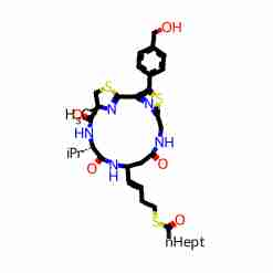 CCCCCCCC(=O)SCC/C=C/C1CC(=O)NCc2nc(c(-c3ccc(CO)cc3)s2)C2=N[C@@](C)(CS2)C(=O)N[C@@H](C(C)C)C(=O)N1